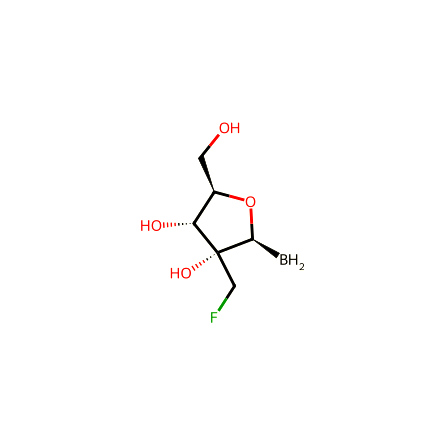 B[C@@H]1O[C@H](CO)[C@@H](O)[C@]1(O)CF